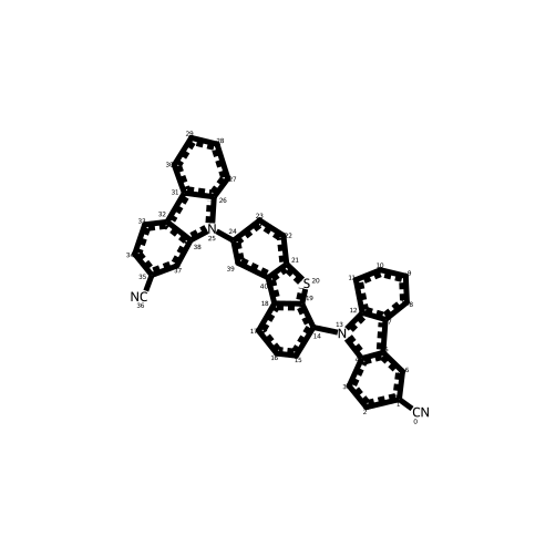 N#Cc1ccc2c(c1)c1ccccc1n2-c1cccc2c1sc1ccc(-n3c4ccccc4c4ccc(C#N)cc43)cc12